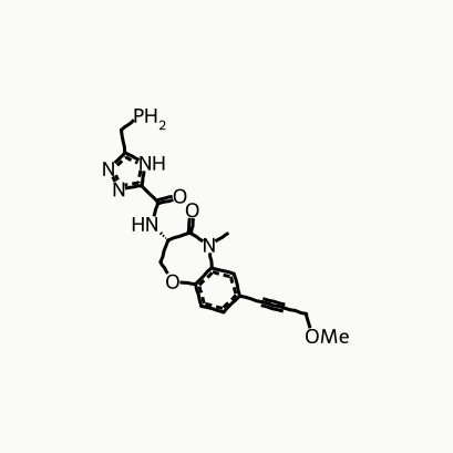 COCC#Cc1ccc2c(c1)N(C)C(=O)[C@@H](NC(=O)c1nnc(CP)[nH]1)CO2